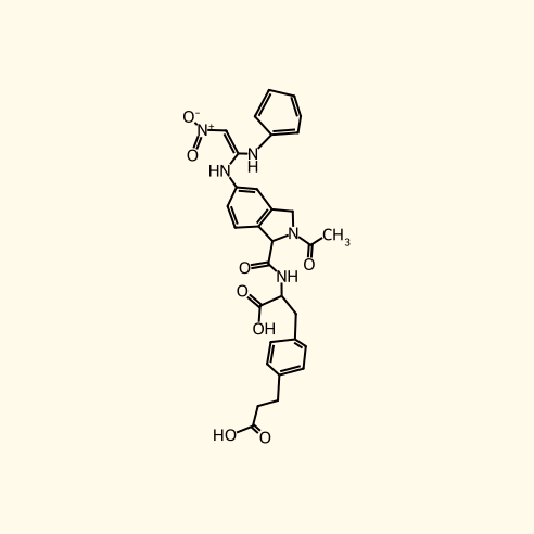 CC(=O)N1Cc2cc(NC(=C[N+](=O)[O-])Nc3ccccc3)ccc2C1C(=O)NC(Cc1ccc(CCC(=O)O)cc1)C(=O)O